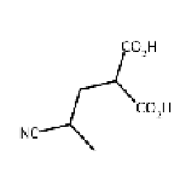 CC(C#N)CC(C(=O)O)C(=O)O